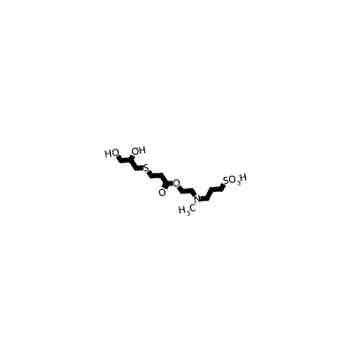 CN(CCCS(=O)(=O)O)CCOC(=O)CCSCC(O)CO